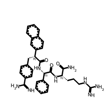 N=C(N)NCCC[C@H](NC(=O)[C@@H](NC(=O)[C@H](Cc1ccc(C(=N)N)cc1)c1ccc2ccccc2c1)c1ccccc1)C(N)=O